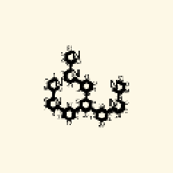 c1cncc(-c2cccc(-c3cccc(-c4cc(-c5cccc(-c6cccc(-c7cccnc7)n6)c5)cc(-c5cccc(-c6cccc(-c7cccnc7)n6)c5)c4)c3)n2)c1